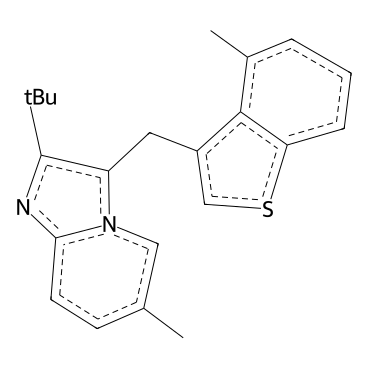 Cc1ccc2nc(C(C)(C)C)c(Cc3csc4cccc(C)c34)n2c1